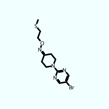 CSCCON=C1CCN(c2ncc(Br)cn2)CC1